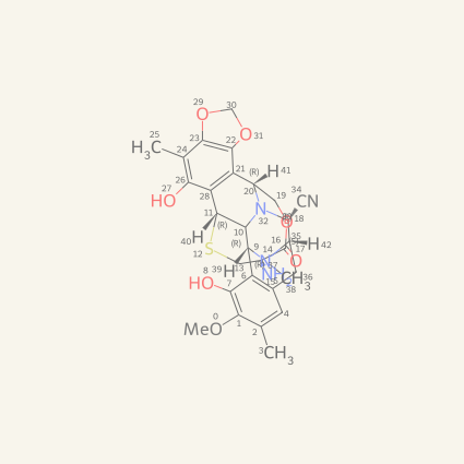 COc1c(C)cc2c(c1O)[C@@H]1C3[C@@H]4SC[C@H](N)C(=O)OC[C@@H](c5c6c(c(C)c(O)c54)OCO6)N3[C@@H](C#N)[C@H](C2)N1C